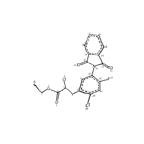 CCOC(=O)C(Cl)Cc1cc(N2C(=O)c3ccccc3C2=O)c(F)cc1Cl